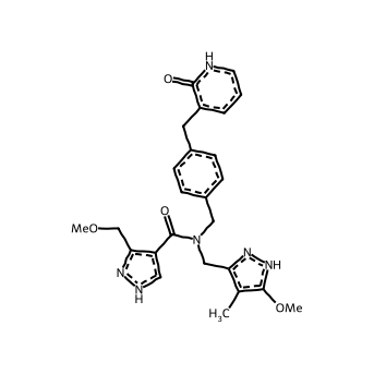 COCc1n[nH]cc1C(=O)N(Cc1ccc(Cc2ccc[nH]c2=O)cc1)Cc1n[nH]c(OC)c1C